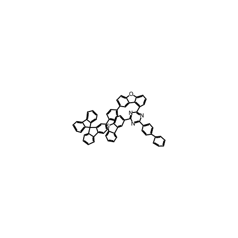 c1ccc(-c2ccc(-c3nc(-c4ccc5sc6ccccc6c5c4)nc(-c4cccc5oc6ccc(-c7ccc(-c8ccc9c(c8)C8(c%10ccccc%10-c%10ccccc%108)c8ccccc8-9)cc7)cc6c45)n3)cc2)cc1